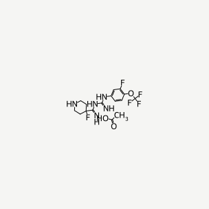 CC(=O)O.N=C(NC(=N)C1(F)CCNCC1)Nc1ccc(OC(F)(F)F)c(F)c1